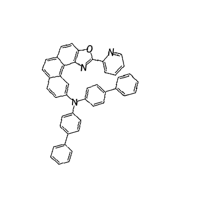 c1ccc(-c2ccc(N(c3ccc(-c4ccccc4)cc3)c3ccc4ccc5ccc6oc(-c7ccccn7)nc6c5c4c3)cc2)cc1